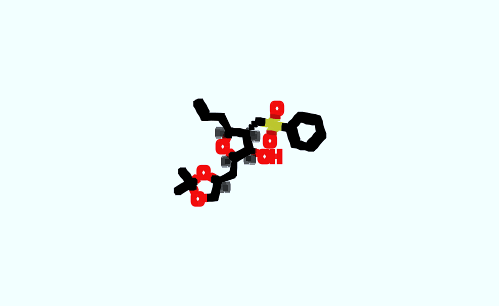 C=CC[C@@H]1O[C@H](C[C@H]2COC(C)(C)O2)[C@H](O)[C@H]1CS(=O)(=O)c1ccccc1